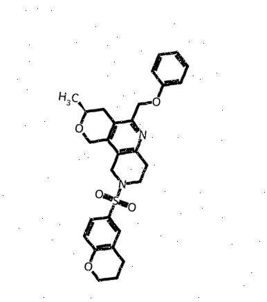 C[C@H]1Cc2c(COc3ccccc3)nc3c(c2CO1)CN(S(=O)(=O)c1ccc2c(c1)CCCO2)CC3